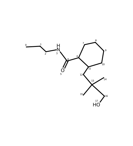 CCCNC(=O)C1CCCCC1CC(C)(C)CO